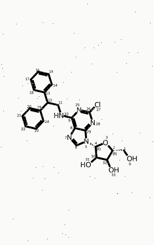 OC[C@H]1O[C@@H](n2cnc3c(NCC(c4ccccc4)c4ccccc4)nc(Cl)nc32)C(O)C1O